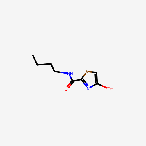 CCCCNC(=O)c1nc(O)cs1